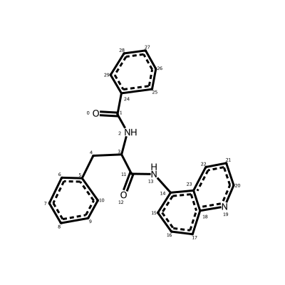 O=C(NC(Cc1ccccc1)C(=O)Nc1cccc2ncccc12)c1ccccc1